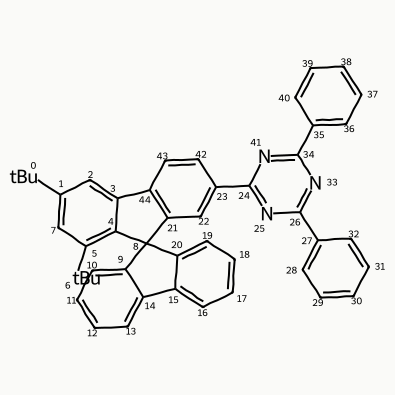 CC(C)(C)c1cc2c(c(C(C)(C)C)c1)C1(c3ccccc3-c3ccccc31)c1cc(-c3nc(-c4ccccc4)nc(-c4ccccc4)n3)ccc1-2